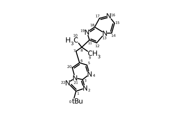 CC(C)(C)c1nc2ncc(CC(C)(C)c3cn4ccncc4n3)cn2n1